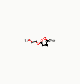 C=C(CC(=O)OCCOCC)C(=O)OC